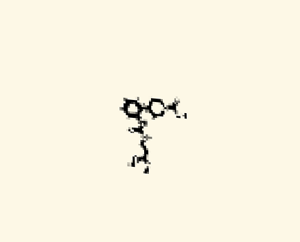 COC(CCNC(=O)Nc1ccccc1C1CCN(C(=O)O)CC1)OC